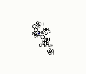 NC(=O)Nc1cc(Nc2nc(Cl)nc(NCCS(=O)(=O)O)n2)ccc1/N=N/c1cc2c(S(=O)(=O)O)cccc2cc1S(=O)(=O)O